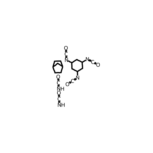 C1CC2CCC1C2.N=C=O.N=C=O.O=C=NC1CC(N=C=O)CC(N=C=O)C1